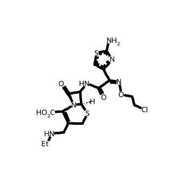 CCNCC1=C(C(=O)O)N2C(=O)C(NC(=O)/C(=N\OCCCl)c3csc(N)n3)[C@H]2SC1